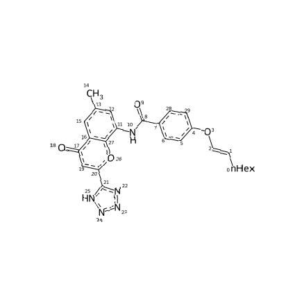 CCCCCCC=COc1ccc(C(=O)Nc2cc(C)cc3c(=O)cc(-c4nnn[nH]4)oc23)cc1